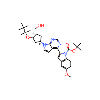 COc1ccc2c(c1)cc(-c1ncnc3c1ccn3[C@H]1CC(O[Si](C)(C)C(C)(C)C)[C@H](CO)C1)n2C(=O)OC(C)(C)C